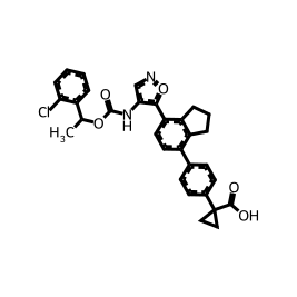 CC(OC(=O)Nc1cnoc1-c1ccc(-c2ccc(C3(C(=O)O)CC3)cc2)c2c1CCC2)c1ccccc1Cl